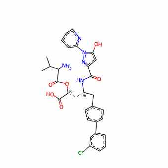 CC(C)C(N)C(=O)O[C@H](C[C@@H](Cc1ccc(-c2cccc(Cl)c2)cc1)NC(=O)c1cc(O)n(-c2ccccn2)n1)C(=O)O